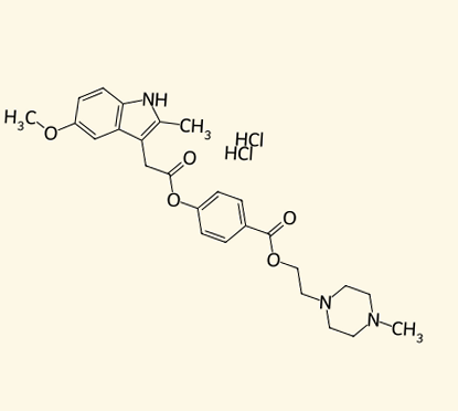 COc1ccc2[nH]c(C)c(CC(=O)Oc3ccc(C(=O)OCCN4CCN(C)CC4)cc3)c2c1.Cl.Cl